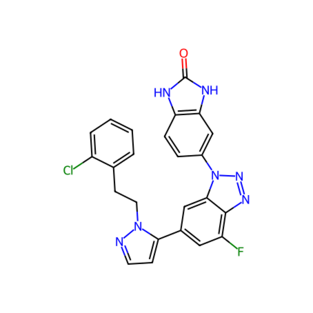 O=c1[nH]c2ccc(-n3nnc4c(F)cc(-c5ccnn5CCc5ccccc5Cl)cc43)cc2[nH]1